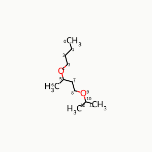 CCCCOC(C)[CH]COC(C)C